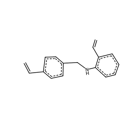 C=Cc1ccc(CNc2ccccc2C=C)cc1